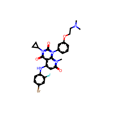 CN(C)CCOc1cccc(-n2c(=O)n(C3CC3)c(=O)c3c(Nc4ccc(Br)cc4F)cc(=O)n(C)c32)c1